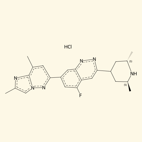 Cc1cn2nc(-c3cc(F)c4cc(C5C[C@H](C)N[C@@H](C)C5)nnc4c3)cc(C)c2n1.Cl